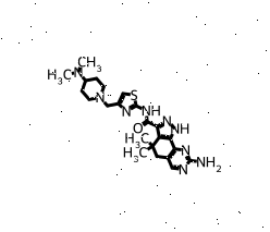 CN(C)C1CCN(Cc2csc(NC(=O)c3n[nH]c4c3C(C)(C)Cc3cnc(N)nc3-4)n2)CC1